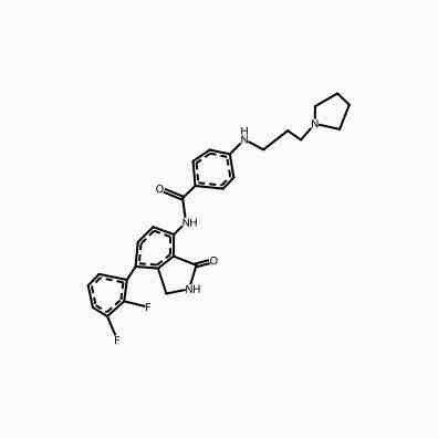 O=C(Nc1ccc(-c2cccc(F)c2F)c2c1C(=O)NC2)c1ccc(NCCCN2CCCC2)cc1